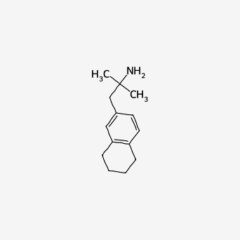 CC(C)(N)Cc1ccc2c(c1)CCCC2